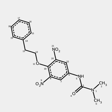 CN(C)C(=O)Nc1cc([N+](=O)[O-])c(OCCc2ccccc2)c([N+](=O)[O-])c1